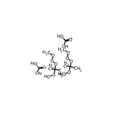 COOOC(C)(C)OO.COOOC(C)(C)OO.O=C(O)O.O=C(O)O